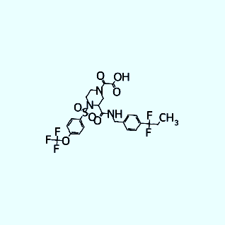 CCC(F)(F)c1ccc(CNC(=O)C2CN(C(=O)C(=O)O)CCN2S(=O)(=O)c2ccc(OC(F)(F)F)cc2)cc1